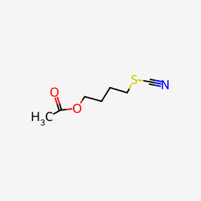 CC(=O)OCCCCSC#N